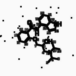 CC(C)N(CC(O)COc1ccccc1C(=O)Nc1cccc2[nH]ccc12)C(C)C